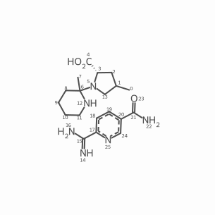 CC1C[C@@H](C(=O)O)N(C2(C)CCCCN2)C1.N=C(N)c1ccc(C(N)=O)cn1